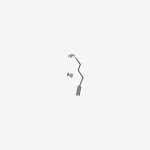 C#CCCCCCC.[Ag]